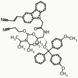 COc1ccc(C(OC[C@@H](NC(=O)Cn2c3ccccc3c3cc(/C=C/C#N)ccc32)[C@@H](C)OP(OCCC#N)N(C(C)C)C(C)C)(c2ccccc2)c2ccc(OC)cc2)cc1